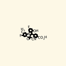 Cc1cc(-n2c(C3(CC#N)COC3)c(-c3ccc(C(=O)O)cc3)c3c(O)cc(F)cc32)ccc1F